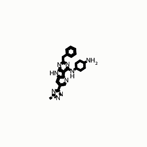 Cn1nnc(-c2cnc3c(c2)[nH]c2nc(Cc4ccccc4)nc(NC4CCC(N)CC4)c23)n1